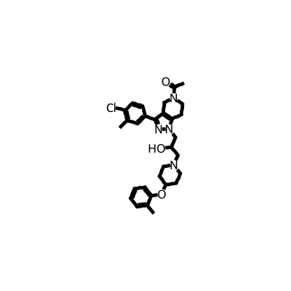 CC(=O)N1CCc2c(c(-c3ccc(Cl)c(C)c3)nn2CC(O)CN2CCC(Oc3ccccc3C)CC2)C1